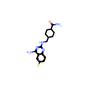 NC(=O)C1CCC(CNc2nc(N)c3cc(F)ccc3n2)CC1